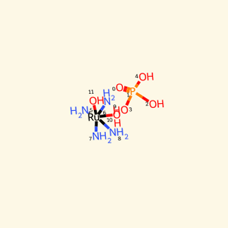 O=P(O)(O)O.[NH2][Ru]([NH2])([NH2])([NH2])([OH])[OH]